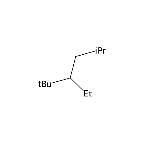 [CH2]C(C)(C)C(CC)CC(C)C